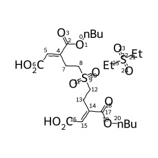 CCCCOC(=O)/C(=C/C(=O)O)CCS(=O)(=O)CC/C(=C\C(=O)O)C(=O)OCCCC.CCS(=O)(=O)CC